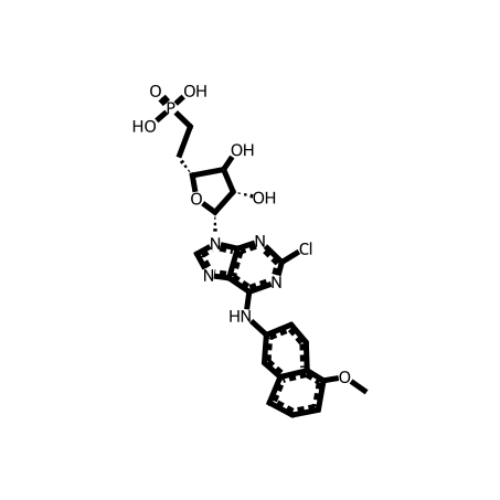 COc1cccc2cc(Nc3nc(Cl)nc4c3ncn4[C@@H]3O[C@H](CCP(=O)(O)O)C(O)[C@@H]3O)ccc12